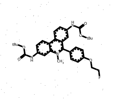 C[n+]1c(-c2ccc(OCCF)cc2)c2cc(NC(=O)OC(C)(C)C)ccc2c2ccc(NC(=O)OC(C)(C)C)cc21